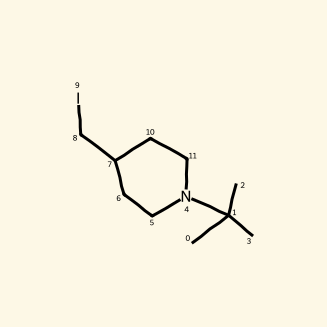 CC(C)(C)N1CCC(CI)CC1